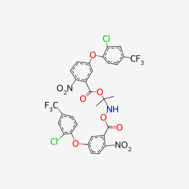 CC(C)(NOC(=O)c1cc(Oc2ccc(C(F)(F)F)cc2Cl)ccc1[N+](=O)[O-])OC(=O)c1cc(Oc2ccc(C(F)(F)F)cc2Cl)ccc1[N+](=O)[O-]